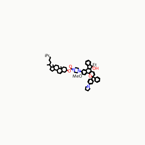 CCC1(O)c2ccccc2-c2c1c1c(c3cc(OC)c(N4CCN(C(=O)OC5CCC6(C)C(=CCC7C6CCC6(C)C(C(C)CCCC(C)C)CCC76)C5)CC4)cc23)OC(c2ccccc2)(c2ccc(N3CCCC3)cc2)C=C1